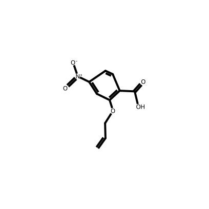 C=CCOc1cc([N+](=O)[O-])ccc1C(=O)O